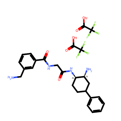 NCc1cccc(C(=O)NCC(=O)N[C@@H]2CCC(c3ccccc3)C[C@@H]2N)c1.O=C(O)C(F)(F)F.O=C(O)C(F)(F)F